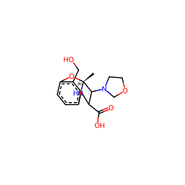 C[C@]12Nc3ccc(c(CO)c3C(C(=O)O)C1N1CCOC1)O2